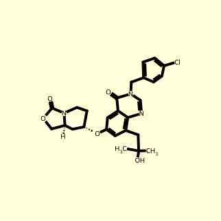 CC(C)(O)Cc1cc(O[C@H]2CCN3C(=O)OC[C@@H]3C2)cc2c(=O)n(Cc3ccc(Cl)cc3)cnc12